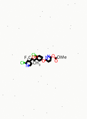 COC(=O)Oc1ccc(Oc2ccc(Cl)c(C(C)C(O)(c3ccnc(Cl)c3)C(F)(F)F)c2)nn1